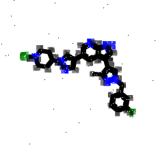 Cc1nn(Cc2cccc(F)c2)cc1-c1c[nH]c2ncc(-c3cnn(C4CCN(Cl)CC4)c3)cc12